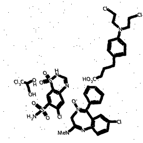 CNC1=Nc2ccc(Cl)cc2C(c2ccccc2)=[N+]([O-])C1.NS(=O)(=O)c1cc2c(cc1Cl)N=CNS2(=O)=O.O=C(O)CCCc1ccc(N(CCCl)CCCl)cc1.OC(O)C(Cl)(Cl)Cl